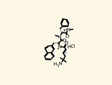 CNC(=O)[C@@H](Cc1ccccc1)N(C)C(=O)[C@@H](Cc1ccc2ccccc2c1)N(C)C(=O)/C=C/CC(C)(C)N.Cl